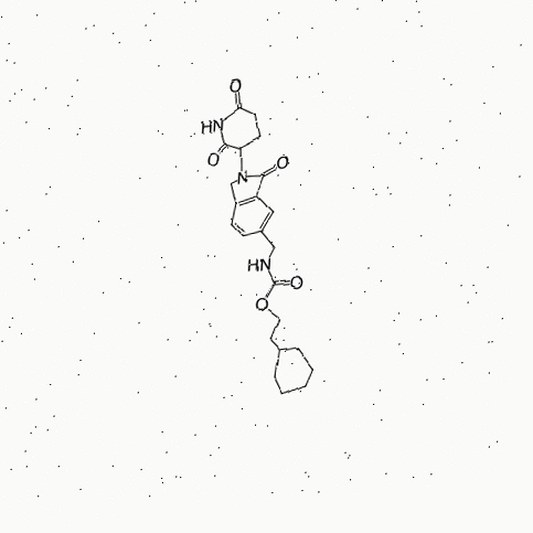 O=C1CCC(N2Cc3ccc(CNC(=O)OCCC4CCCCC4)cc3C2=O)C(=O)N1